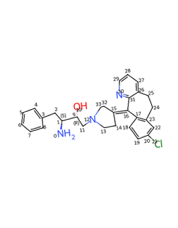 N[C@@H](Cc1ccccc1)[C@H](O)CN1CCC(=C2c3ccc(Cl)cc3CCc3cccnc32)CC1